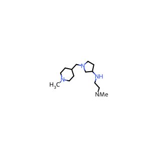 CNCCNC1CCN(CC2CCN(C)CC2)C1